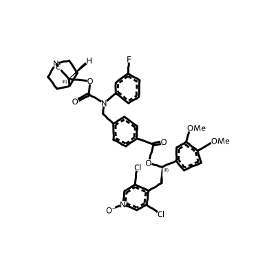 COc1ccc([C@@H](Cc2c(Cl)c[n+]([O-])cc2Cl)OC(=O)c2ccc(CN(C(=O)O[C@H]3CN4CCC3CC4)c3cccc(F)c3)cc2)cc1OC